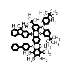 Bc1c(B)c(B)c(N(c2ccc(-c3ccccc3)cc2)c2ccc3c(c2)N(c2ccc4c(c2)C(C)(C)c2ccccc2-4)c2cc(C(C)(C)C)cc4c2B3c2cc(C(C)(C)C)ccc2N4c2ccc(C(C)(C)C)cc2)c(B)c1B